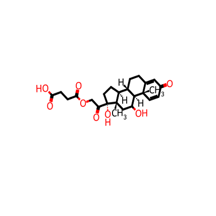 C[C@]12C=CC(=O)C=C1CC[C@@H]1[C@@H]2C(O)C[C@@]2(C)[C@H]1CC[C@]2(O)C(=O)COC(=O)CCC(=O)O